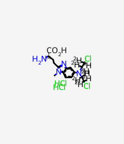 Cl.Cl.[2H]C([2H])(Cl)C([2H])([2H])N(c1ccc2c(c1)nc(CC[C@H](N)C(=O)O)n2C)C([2H])([2H])C([2H])([2H])Cl